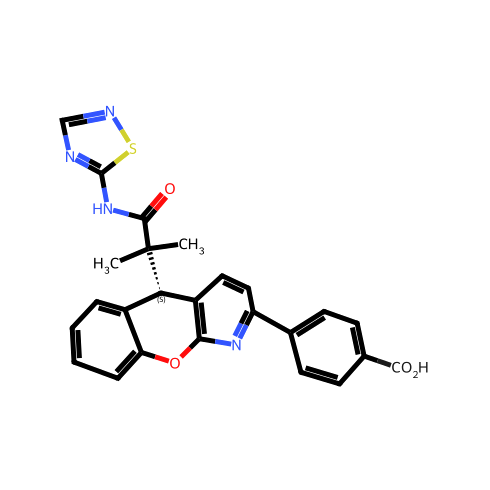 CC(C)(C(=O)Nc1ncns1)[C@H]1c2ccccc2Oc2nc(-c3ccc(C(=O)O)cc3)ccc21